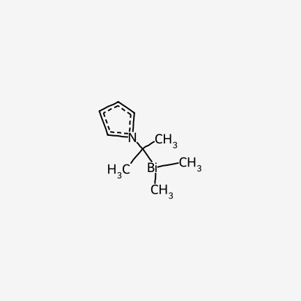 [CH3][Bi]([CH3])[C](C)(C)n1cccc1